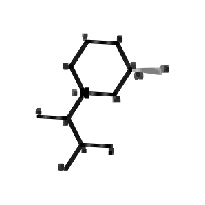 CC(C)C(C)N1CCC[C@H](C)C1